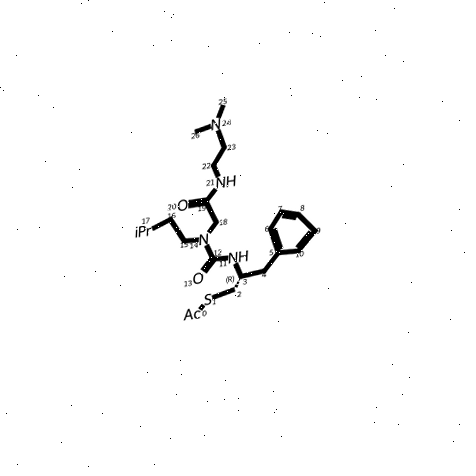 CC(=O)SC[C@@H](Cc1ccccc1)NC(=O)N(CCC(C)C)CC(=O)NCCN(C)C